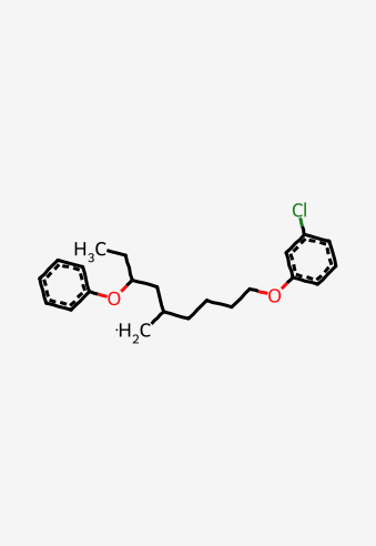 [CH2]C(CCCCOc1cccc(Cl)c1)CC(CC)Oc1ccccc1